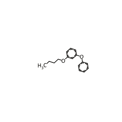 CCCCOc1cccc(Oc2ccccc2)c1